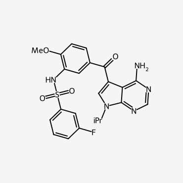 COc1ccc(C(=O)c2cn(C(C)C)c3ncnc(N)c23)cc1NS(=O)(=O)c1cccc(F)c1